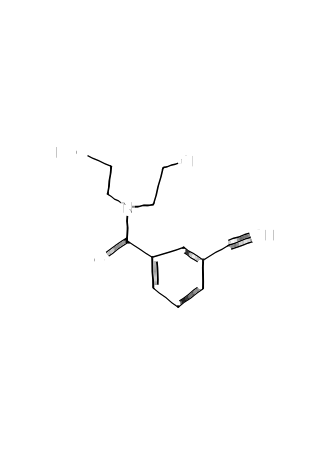 C#Cc1cccc(C(=O)N(CCC)CCC)c1